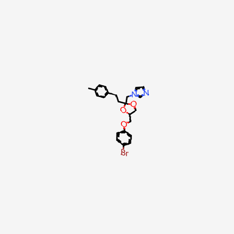 Cc1ccc(CCC2(Cn3ccnc3)OCC(COc3ccc(Br)cc3)O2)cc1